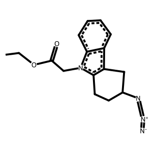 CCOC(=O)Cn1c2c(c3ccccc31)CC(N=[N+]=[N-])CC2